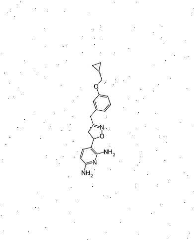 Nc1ccc(C2CC(Cc3cccc(OCC4CC4)c3)=NO2)c(N)n1